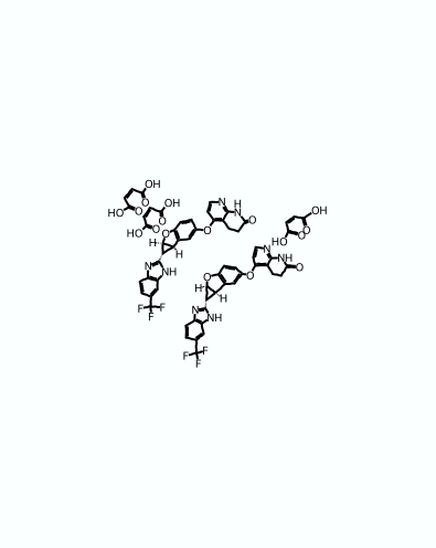 O=C(O)/C=C\C(=O)O.O=C(O)/C=C\C(=O)O.O=C(O)/C=C\C(=O)O.O=C1CCc2c(Oc3ccc4c(c3)[C@@H]3[C@H](O4)[C@H]3c3nc4ccc(C(F)(F)F)cc4[nH]3)ccnc2N1.O=C1CCc2c(Oc3ccc4c(c3)[C@@H]3[C@H](O4)[C@H]3c3nc4ccc(C(F)(F)F)cc4[nH]3)ccnc2N1